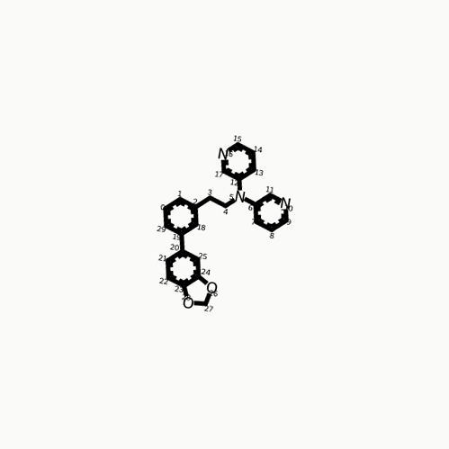 c1cc(CCN(c2cccnc2)c2cccnc2)cc(-c2ccc3c(c2)OCO3)c1